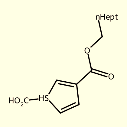 CCCCCCCCOC(=O)C1=C[SH](C(=O)O)C=C1